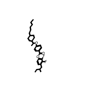 CCCCCCC1CCC(C(C)Oc2ccc(C(=O)Oc3ccc(CC(C)CC)c(F)c3F)cc2)CC1